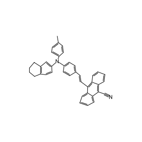 Cc1ccc(N(c2ccc(C=Cc3c4ccccc4c(C#N)c4ccccc34)cc2)c2ccc3c(c2)CCCC3)cc1